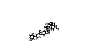 CC(C)[C@@H](NS(=O)(=O)c1ccc2c(c1)sc1cc(-c3ccccc3)ccc12)C(=O)O